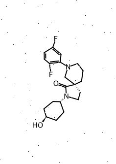 O=C1N([C@H]2CC[C@H](O)CC2)CC[C@]12CCCN(c1cc(F)ccc1F)C2